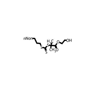 CCCCCCCCCCCCSC(=S)SC(C)(C)C(=O)OCCO